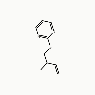 C=CC(C)CSc1ncccn1